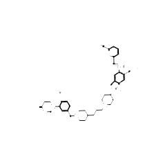 C=C1CCN(c2cc(C(=O)N3CCC(CCCN4CCC(n5cc6cc(NC(=O)c7cccc(C(F)(F)F)n7)c(C(C)(C)O)cc6n5)CC4)CC3)ccc2OC)C(=O)N1